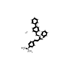 CN(C)c1ccc(/C=C/c2sc3ccccc3[n+]2Cc2ccc(-c3ccccc3)cc2)cc1.[I-]